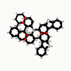 c1ccc(N(c2ccc3c(c2)oc2ccccc23)c2ccccc2-c2cccc3sc4ccccc4c23)c(-c2cccc3cccc(C4CCCCC4)c23)c1